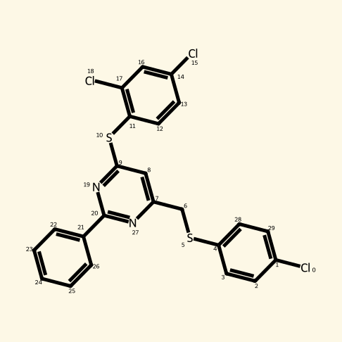 Clc1ccc(SCc2cc(Sc3ccc(Cl)cc3Cl)nc(-c3ccccc3)n2)cc1